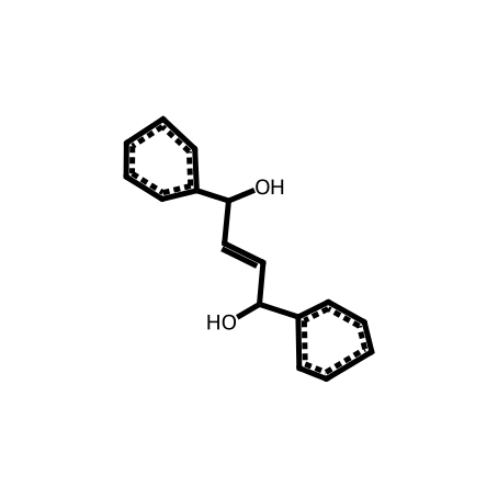 OC(C=CC(O)c1ccccc1)c1ccccc1